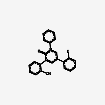 N#Cc1ccccc1-c1cc(-c2ccccc2F)cn(-c2ccccc2)c1=O